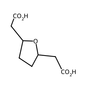 O=C(O)CC1CCC(CC(=O)O)O1